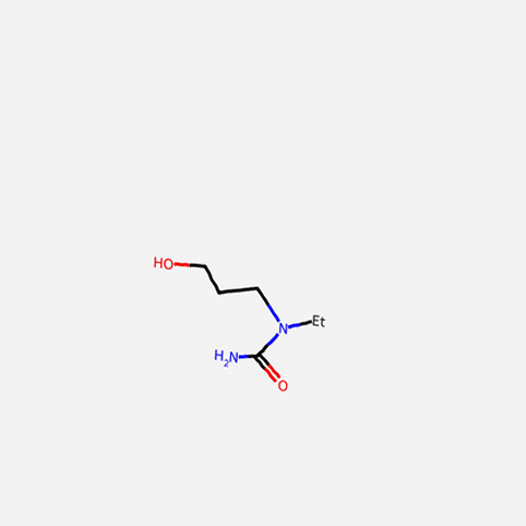 [CH2]CN(CCCO)C(N)=O